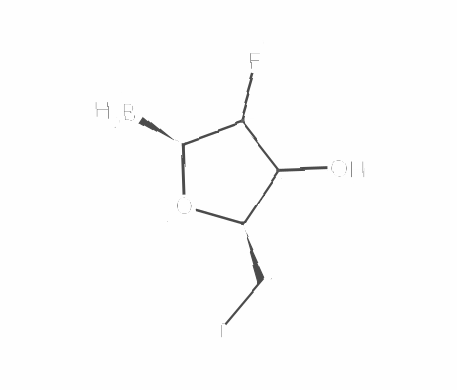 B[C@@H]1O[C@H](CI)C(O)C1F